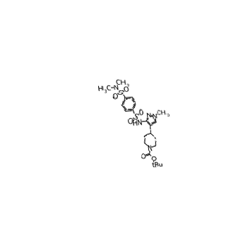 CN(C)S(=O)(=O)c1ccc(S(=O)(=O)Nc2nn(C)cc2C2CCN(C(=O)OC(C)(C)C)CC2)cc1